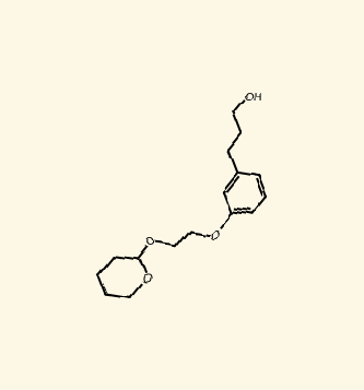 OCCCc1cccc(OCCOC2CCCCO2)c1